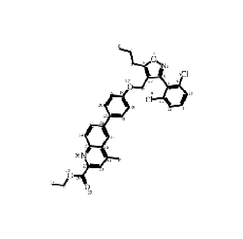 CCCc1onc(-c2c(Cl)cccc2Cl)c1COc1ccc(-c2ccc3nc(C(=O)OCC)cc(C)c3c2)cc1